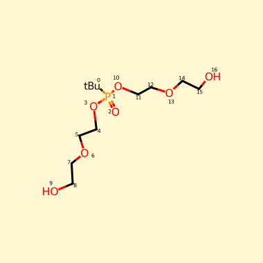 CC(C)(C)P(=O)(OCCOCCO)OCCOCCO